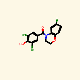 O=C(c1cc(Br)c(O)c(Br)c1)N1CCOc2ccc(F)cc21